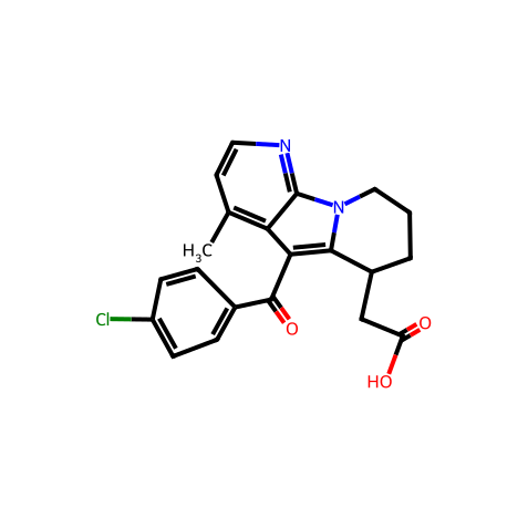 Cc1ccnc2c1c(C(=O)c1ccc(Cl)cc1)c1n2CCCC1CC(=O)O